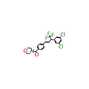 O=C(c1ccc(/C=C/C(c2cc(Cl)cc(Cl)c2)C(F)(F)F)cc1)N1CCOCC1